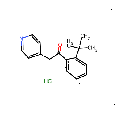 CC(C)(C)c1ccccc1C(=O)Cc1ccncc1.Cl